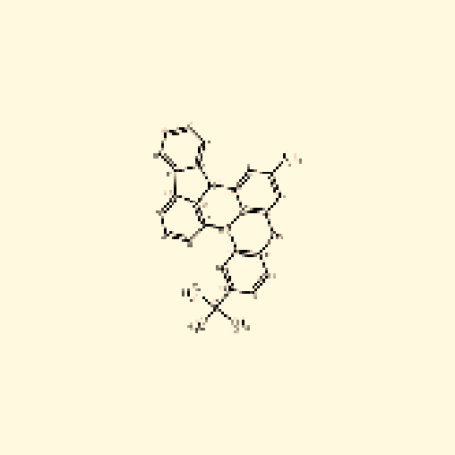 Cc1cc2c3c(c1)-n1c4ccccc4c4cccc(c41)B3c1cc(C(C)(C)C)ccc1O2